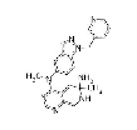 CN(c1ccc2c(cnn2Cc2cccnc2)c1)c1ncnc2c1=CC(C)(N)NC=2